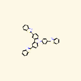 c1ccc2sc(-c3ccc(-n4c5ccc(-c6nc7ccccc7s6)cc5c5cc(-c6nc7ccccc7s6)ccc54)cc3)nc2c1